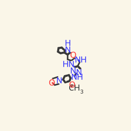 COc1cc(N2CCOCC2)ccc1Nc1ncc2c(n1)NC(Cc1c[nH]c3ccccc13)C(=O)NC2